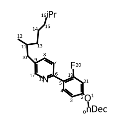 CCCCCCCCCCOc1ccc(-c2ccc(CC(C)CCCC(C)C)cn2)c(F)c1